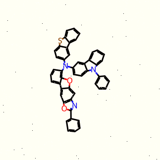 c1ccc(-c2nc3cc4oc5c(N(c6ccc7sc8ccccc8c7c6)c6ccc7c(c6)c6ccccc6n7-c6ccccc6)cccc5c4cc3o2)cc1